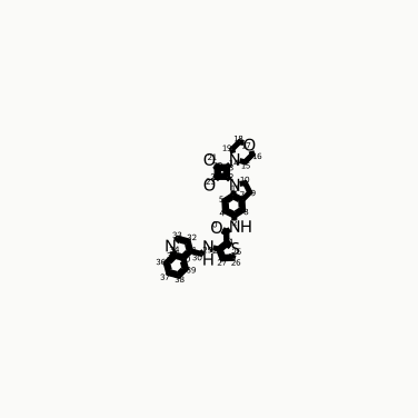 O=C(Nc1ccc2c(c1)CCN2c1c(N2CCOCC2)c(=O)c1=O)c1sccc1NCc1ccnc2ccccc12